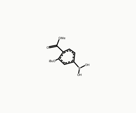 COC(=O)c1ccc(B(O)O)cc1OCC(C)C